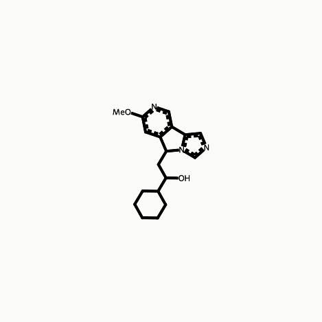 COc1cc2c(cn1)-c1cncn1C2CC(O)C1CCCCC1